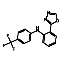 FC(F)(F)c1ccc(Nc2ccccc2-c2nnco2)cc1